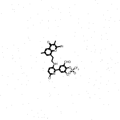 Cc1cc(CCNc2ccc(Cl)nc2-c2cc(Cl)c(OS(=O)(=O)C(F)(F)F)c(C=O)c2)c2oc(C(C)C)c(C)c(=O)c2c1